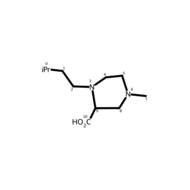 CC(C)CCN1CCN(C)CC1C(=O)O